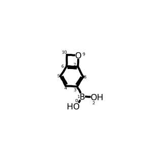 OB(O)c1ccc2c(c1)OC2